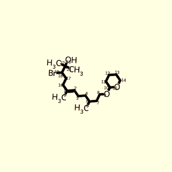 C/C(=C\CCC(C)CCOC1CCCCO1)CCC(Br)C(C)(C)O